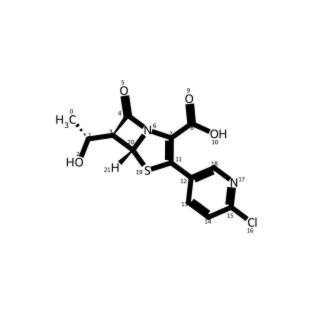 C[C@@H](O)[C@H]1C(=O)N2C(C(=O)O)=C(c3ccc(Cl)nc3)S[C@H]12